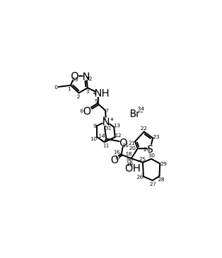 Cc1cc(NC(=O)C[N+]23CCC(CC2)C(OC(=O)[C@@](O)(c2cccs2)C2CCCCC2)C3)no1.[Br-]